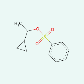 CC(OS(=O)(=O)c1ccccc1)C1CC1